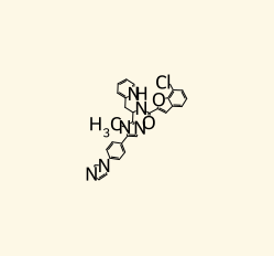 Cn1c(-c2ccc(-n3ccnc3)cc2)cnc1C(Cc1ccccn1)NC(=O)c1cc2cccc(Cl)c2o1